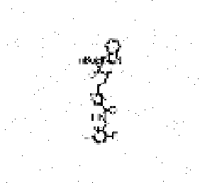 CCCCOC(=O)N(CCc1nc(C(=O)NCc2nc(C)ccc2F)cs1)Cc1nc2ccccc2[nH]1